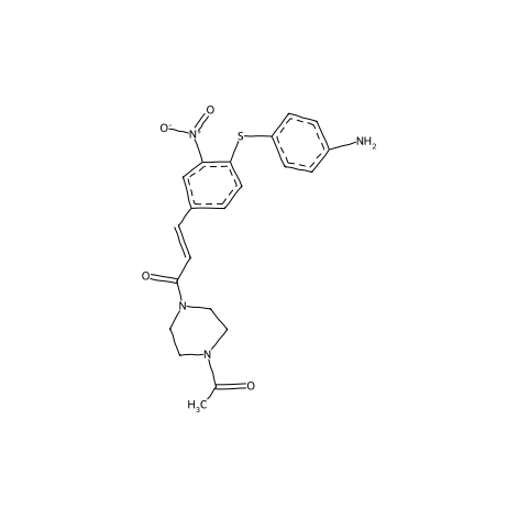 CC(=O)N1CCN(C(=O)/C=C/c2ccc(Sc3ccc(N)cc3)c([N+](=O)[O-])c2)CC1